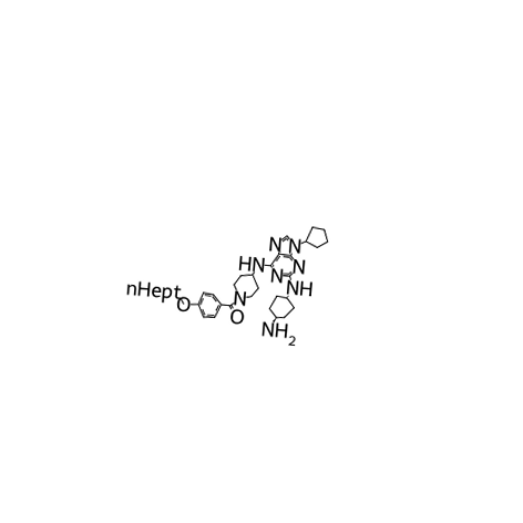 CCCCCCCOc1ccc(C(=O)N2CCC(Nc3nc(N[C@H]4CC[C@H](N)CC4)nc4c3ncn4C3CCCC3)CC2)cc1